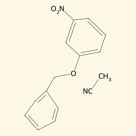 CC#N.O=[N+]([O-])c1cccc(OCc2ccccc2)c1